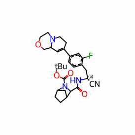 CC(C)(C)OC(=O)N1C2CCC(C2)C1C(=O)N[C@H](C#N)Cc1ccc(C2=CC3COCCN3CC2)cc1F